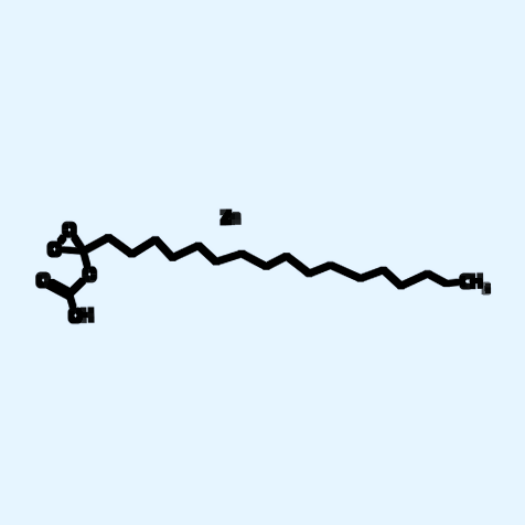 CCCCCCCCCCCCCCCCCC1(OC(=O)O)OO1.[Zn]